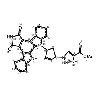 COC(=O)C1=CN(C2C=CC(n3c4ccccc4c4c5c(c6c7ccccc7[nH]c6c43)C(=O)NC5=O)C2)NN1